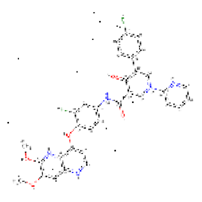 COc1cc2nccc(Oc3ccc(NC(=O)c4cn(-c5ccccn5)cc(-c5ccc(F)cc5)c4=O)cc3F)c2nc1OC